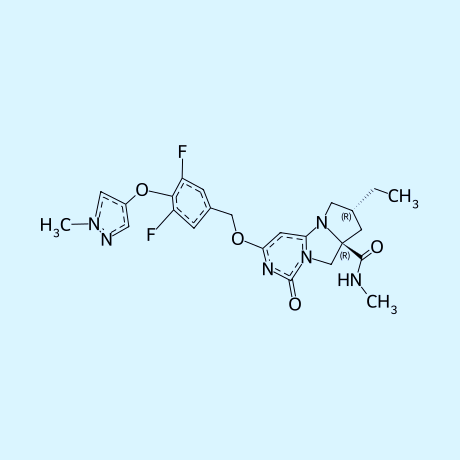 CC[C@H]1CN2c3cc(OCc4cc(F)c(Oc5cnn(C)c5)c(F)c4)nc(=O)n3C[C@@]2(C(=O)NC)C1